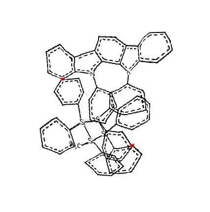 C[Si]1(c2ccccc2)[Si](c2ccccc2)(c2ccccc2)[Si](c2ccccc2)(c2cccc(-n3c4ccccc4c4ccc5c6ccccc6n(-c6ccccc6)c5c43)c2)[Si]1(c1ccccc1)c1ccccc1